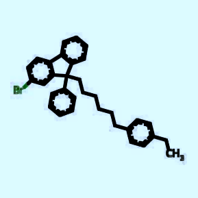 CCc1ccc(CCCCCCC2(c3ccccc3)c3ccccc3-c3ccc(Br)cc32)cc1